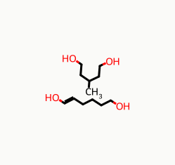 CC(CCO)CCO.OC=CCCCCO